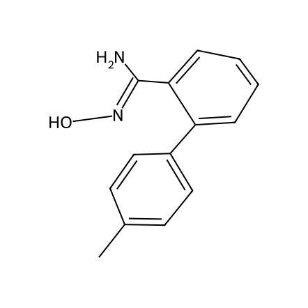 Cc1ccc(-c2ccccc2C(N)=NO)cc1